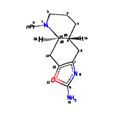 CCCN1CCC[C@@H]2Cc3nc(N)oc3C[C@H]21